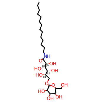 CCCCCCCCCCCCCCNC(=O)[C@H](O)[C@@H](O)[C@H](O)[C@H](O)CO[C@H]1OC(CO)[C@H](O)C(O)C1O